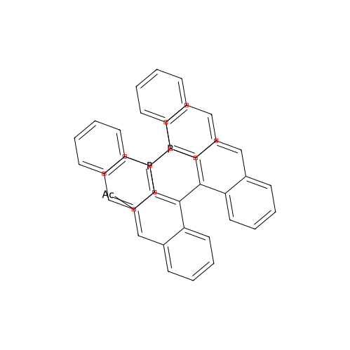 CC(=O)c1cc2ccccc2c(-c2c(P(c3ccccc3)c3ccccc3)ccc3ccccc23)c1P(c1ccccc1)c1ccccc1